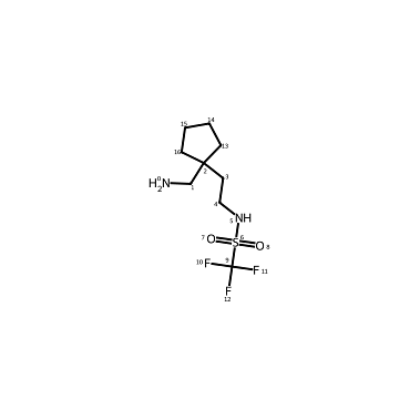 NCC1(CCNS(=O)(=O)C(F)(F)F)CCCC1